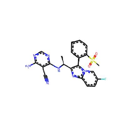 C[C@H](Nc1ncnc(N)c1C#N)c1nc2ccc(F)cn2c1-c1ccccc1S(C)(=O)=O